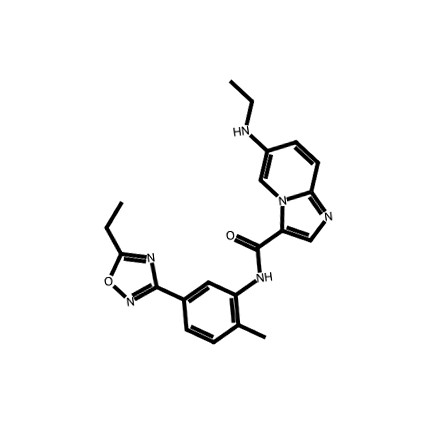 CCNc1ccc2ncc(C(=O)Nc3cc(-c4noc(CC)n4)ccc3C)n2c1